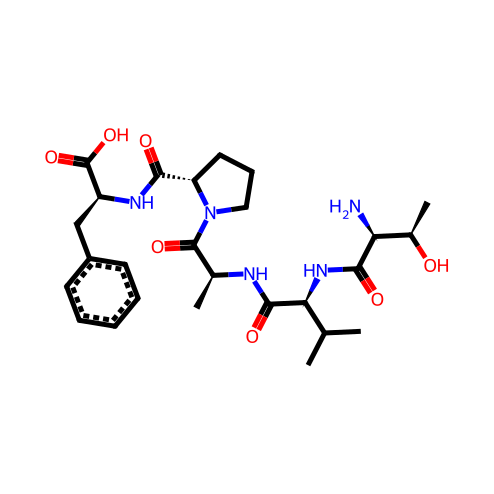 CC(C)[C@H](NC(=O)[C@@H](N)[C@@H](C)O)C(=O)N[C@@H](C)C(=O)N1CCC[C@H]1C(=O)N[C@@H](Cc1ccccc1)C(=O)O